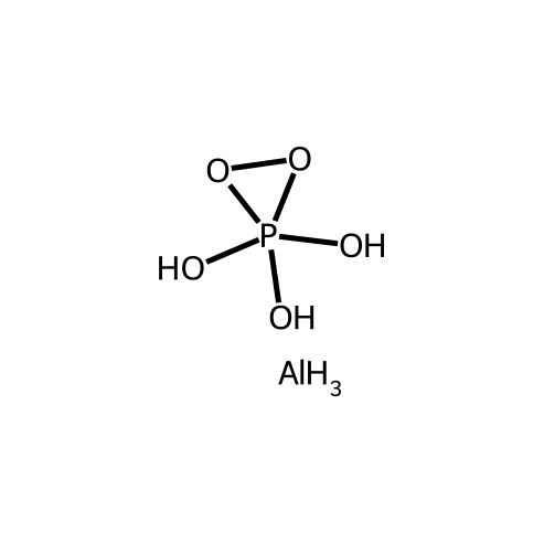 OP1(O)(O)OO1.[AlH3]